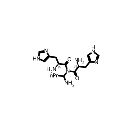 CCCC(N)N(C(=O)[C@@H](N)Cc1c[nH]cn1)C(=O)[C@@H](N)Cc1c[nH]cn1